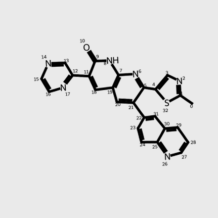 Cc1ncc(-c2nc3[nH]c(=O)c(-c4cnccn4)cc3cc2-c2ccc3ncccc3c2)s1